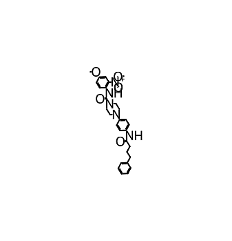 COc1ccc(NC(=O)N2CCN(c3ccc(NC(=O)CCCc4ccccc4)cc3)CC2)c([N+](=O)OC)c1